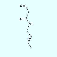 C/C=C/CNC(=O)COC